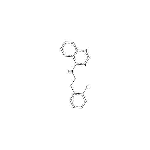 Clc1ccccc1CCNc1ncnc2ccccc12